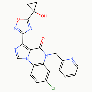 O=c1c2c(-c3noc(C4(O)CC4)n3)ncn2c2ccc(Cl)cc2n1Cc1ccccn1